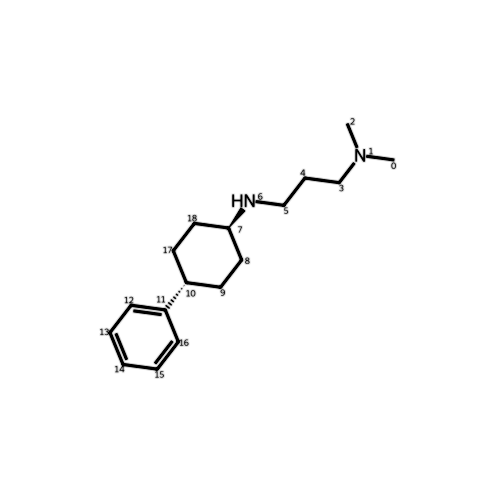 CN(C)CCCN[C@H]1CC[C@H](c2ccccc2)CC1